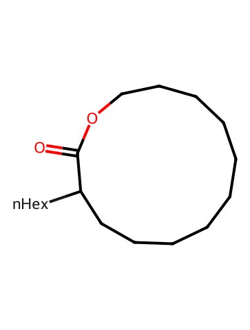 CCCCCCC1CCCCCCCCCCOC1=O